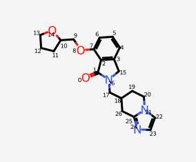 O=C1c2c(cccc2OCC2CCCO2)CN1CC1CCn2ccnc2C1